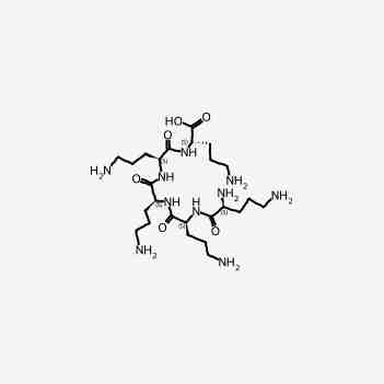 NCCC[C@H](NC(=O)[C@H](CCCN)NC(=O)[C@H](CCCN)NC(=O)[C@H](CCCN)NC(=O)[C@@H](N)CCCN)C(=O)O